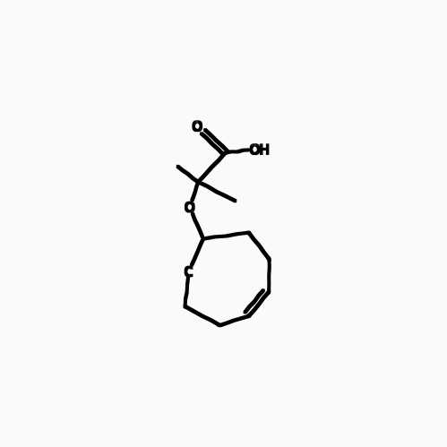 CC(C)(OC1CCC=CCCC1)C(=O)O